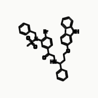 CS(=O)(=O)N(Cc1ccccc1)c1cc(C(=O)CNC(CCOc2ccc3c(c2)[nH]c2ccccc23)c2ccccc2)ccc1Br